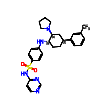 O=S(=O)(Nc1ccncn1)c1ccc(N[C@H]2CC[C@H](c3cccc(C(F)(F)F)c3)C[C@@H]2N2CCCC2)cc1